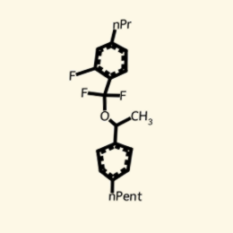 CCCCCc1ccc(C(C)OC(F)(F)c2ccc(CCC)cc2F)cc1